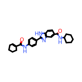 O=C(Nc1ccc(-c2nc3cc(C(=O)NC4CCCCC4)ccc3[nH]2)cc1)C1=CCCCC1